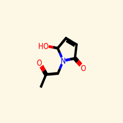 CC(=O)CN1C(=O)C=CC1O